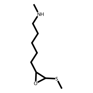 CNCCCCCC1OC1SC